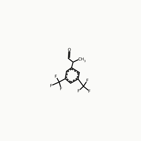 CC(C=O)c1cc(C(F)(F)F)cc(C(F)(F)F)c1